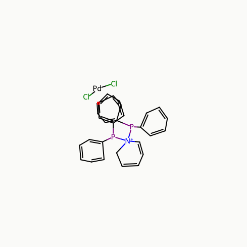 C1=CC[N+](P(c2ccccc2)c2ccccc2)(P(c2ccccc2)c2ccccc2)C=C1.[Cl][Pd][Cl]